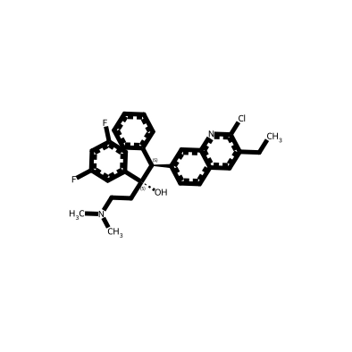 CCc1cc2ccc([C@H](c3ccccc3)[C@@](O)(CCN(C)C)c3cc(F)cc(F)c3)cc2nc1Cl